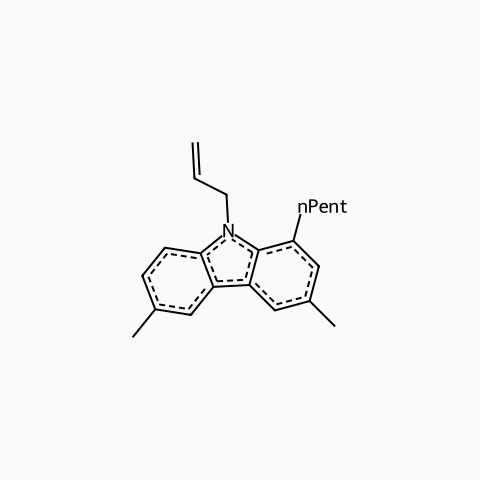 C=CCn1c2ccc(C)cc2c2cc(C)cc(CCCCC)c21